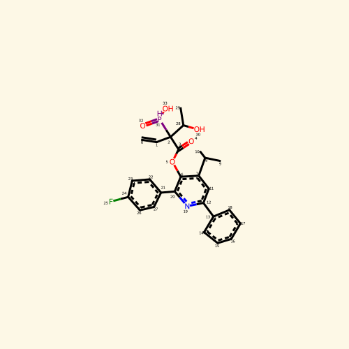 C=CC(C(=O)Oc1c(C(C)C)cc(-c2ccccc2)nc1-c1ccc(F)cc1)(C(C)O)[PH](=O)O